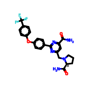 NC(=O)c1cc(CN2CCC[C@H]2C(N)=O)nc(-c2ccc(Oc3ccc(C(F)(F)F)cc3)cc2)n1